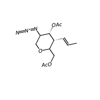 CC=C[C@@H]1C(COC(C)=O)OCC(N=[N+]=[N-])[C@@H]1OC(C)=O